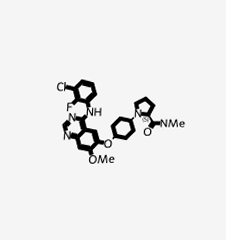 CNC(=O)[C@@H]1CCCN1[C@H]1CC[C@@H](Oc2cc3c(Nc4cccc(Cl)c4F)ncnc3cc2OC)CC1